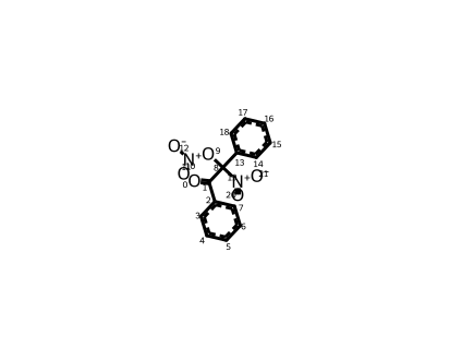 O=C(c1ccccc1)C(O[N+](=O)[O-])(c1ccccc1)[N+](=O)[O-]